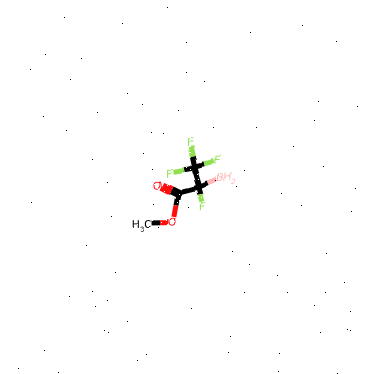 BC(F)(C(=O)OC)C(F)(F)F